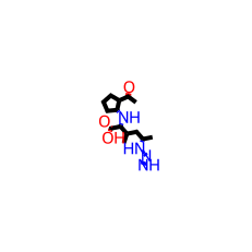 CC(=O)C1CCCC1NC(C(=O)O)C(C)CC(C)NN=N